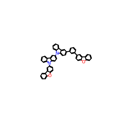 c1cc(-c2ccc3oc4ccccc4c3c2)cc(-c2ccc3c(c2)c2ccccc2n3-c2ccc3c(c2)c2ccccc2n3-c2ccc3oc4ccccc4c3c2)c1